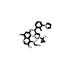 Cc1c([C@H](Nc2cc(Cl)c3ncc(C#N)c(NCC(C)(C)C)c3c2)C2=CN(C3(C(F)(F)F)CC3)NN2)cccc1-n1cccn1